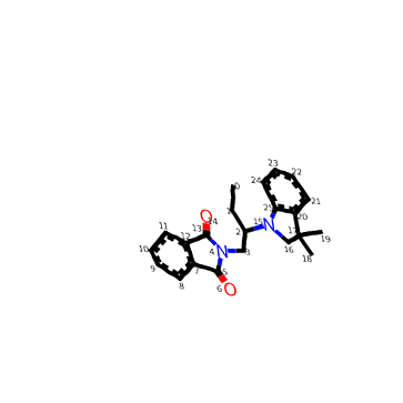 CCC(CN1C(=O)c2ccccc2C1=O)N1CC(C)(C)c2ccccc21